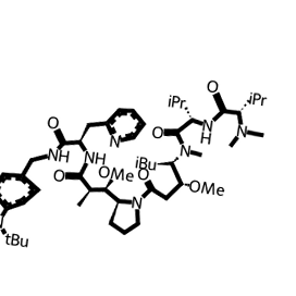 CC[C@H](C)[C@@H]([C@@H](CC(=O)N1CCC[C@H]1[C@H](OC)[C@@H](C)C(=O)N[C@H](Cc1ccccn1)C(=O)NCc1ccc(NC(C)(C)C)cc1)OC)N(C)C(=O)[C@@H](NC(=O)[C@H](C(C)C)N(C)C)C(C)C